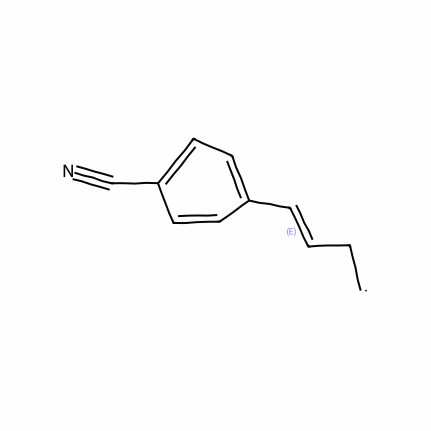 [CH2]C/C=C/c1ccc(C#N)cc1